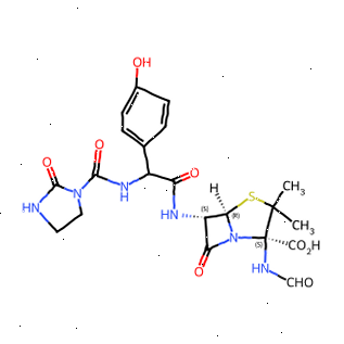 CC1(C)S[C@@H]2[C@@H](NC(=O)C(NC(=O)N3CCNC3=O)c3ccc(O)cc3)C(=O)N2[C@@]1(NC=O)C(=O)O